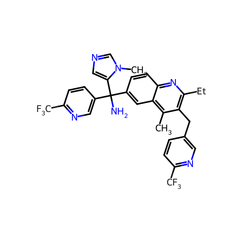 CCc1nc2ccc(C(N)(c3ccc(C(F)(F)F)nc3)c3cncn3C)cc2c(C)c1Cc1ccc(C(F)(F)F)nc1